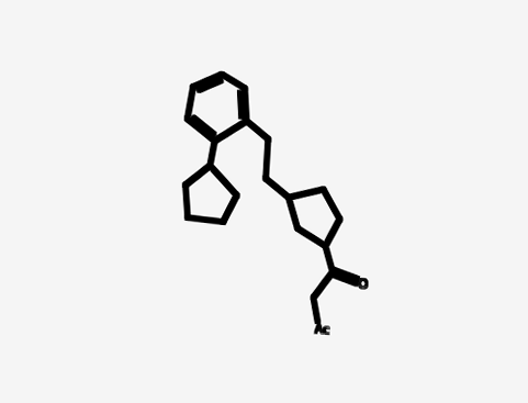 CC(=O)CC(=O)C1CCC(CCc2ccccc2C2CCCC2)C1